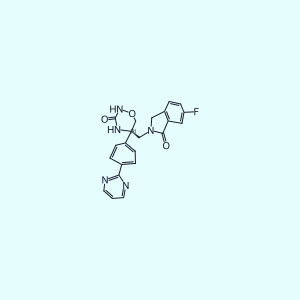 O=C1NOC[C@](CN2Cc3ccc(F)cc3C2=O)(c2ccc(-c3ncccn3)cc2)N1